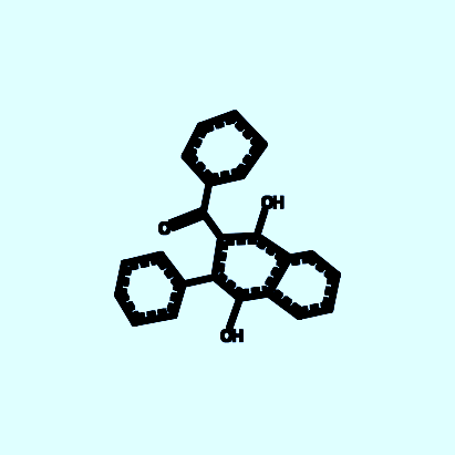 O=C(c1ccccc1)c1c(-c2ccccc2)c(O)c2ccccc2c1O